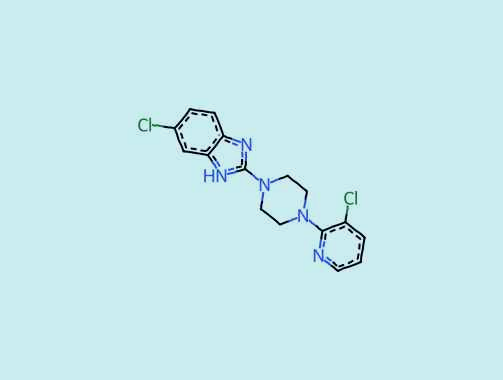 Clc1ccc2nc(N3CCN(c4ncccc4Cl)CC3)[nH]c2c1